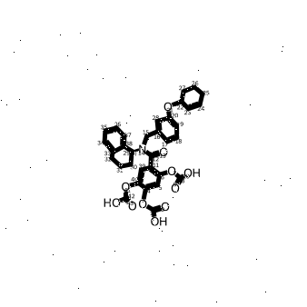 O=C(O)Oc1cc(OC(=O)O)c(C(=O)N(Cc2cccc(OC3C=CCCC3)c2)[C@H]2CCCc3ccccc32)cc1OC(=O)O